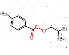 CCCCc1ccc(C(=O)OO[CH]C(CC)CCCC)cc1